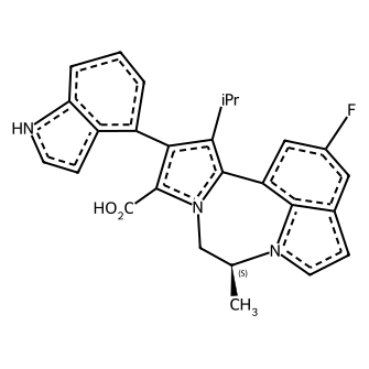 CC(C)c1c(-c2cccc3[nH]ccc23)c(C(=O)O)n2c1-c1cc(F)cc3ccn(c13)[C@@H](C)C2